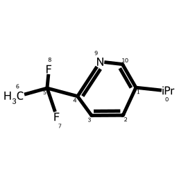 CC(C)c1ccc(C(C)(F)F)nc1